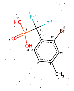 Cc1ccc(C(F)(F)P(=O)(O)O)c(Br)c1